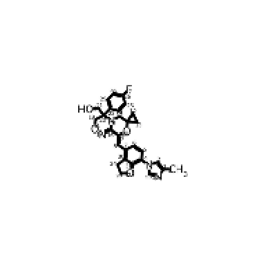 Cc1cn(-c2ccc(/C=C3\OC4(CC4)CN4C3=NOCC4(CO)c3ccc(F)cc3)c3c2OCC3)cn1